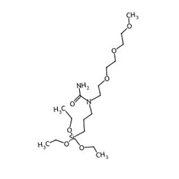 CCO[Si](CCCN(CCOCCOCCOC)C(N)=O)(OCC)OCC